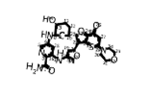 NC(=O)c1ncc(N[C@@H]2CCCC[C@@H]2O)cc1Nc1cc(-c2coc3c(=O)cc(N4CCOCC4)sc23)on1